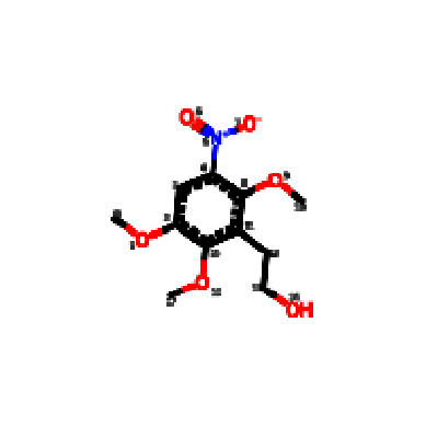 COc1cc([N+](=O)[O-])c(OC)c(CCO)c1OC